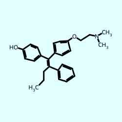 CCC/C(=C(\c1ccc(O)cc1)c1ccc(OCCN(C)C)cc1)c1ccccc1